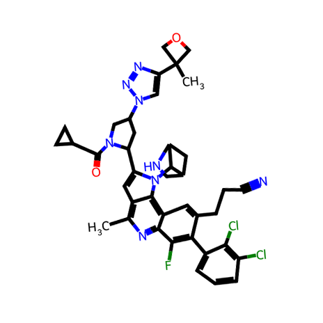 Cc1nc2c(F)c(-c3cccc(Cl)c3Cl)c(CCC#N)cc2c2c1cc(C1CC(n3cc(C4(C)COC4)nn3)CN1C(=O)C1CC1)n2C1C2CNC1C2